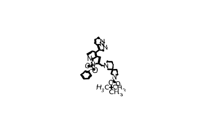 CC(C)(C)OC(=O)N1CCC2(CCCN(Cc3cc4c(-c5cnn6ncccc56)ccnc4n3S(=O)(=O)c3ccccc3)C2)C1